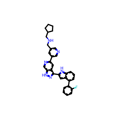 Fc1ccccc1-c1cccc2[nH]c(-c3n[nH]c4cnc(-c5cncc(CNCC6CCCC6)c5)cc34)cc12